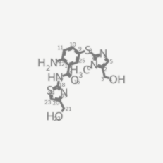 Cn1c(CO)cnc1Sc1ccc(N)c(C(=O)Nc2nc(CO)cs2)c1